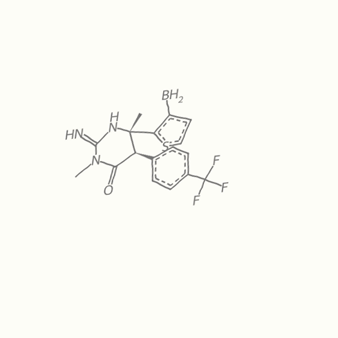 Bc1ccsc1[C@@]1(C)NC(=N)N(C)C(=O)[C@@H]1c1ccc(C(F)(F)F)cc1